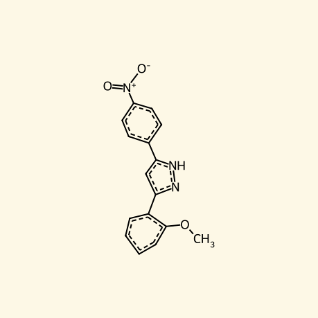 COc1ccccc1-c1cc(-c2ccc([N+](=O)[O-])cc2)[nH]n1